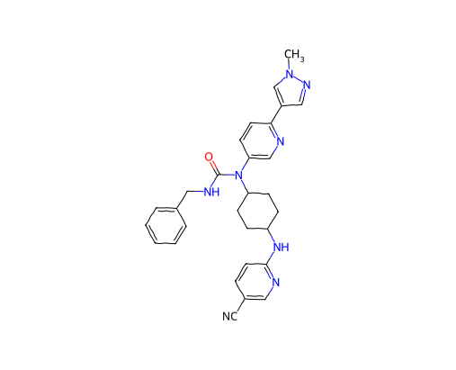 Cn1cc(-c2ccc(N(C(=O)NCc3ccccc3)C3CCC(Nc4ccc(C#N)cn4)CC3)cn2)cn1